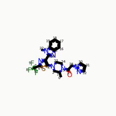 CC1CN(c2sc(C(F)(F)F)nc2-c2nc3ccccc3n2C)CCN1C(=O)Cn1cccn1